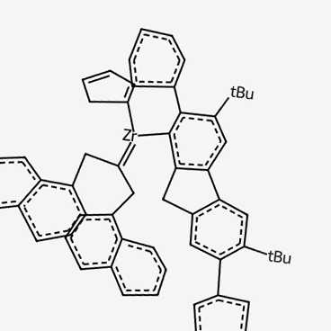 CC(C)(C)c1cc2c(cc1-c1ccccc1)Cc1c-2cc(C(C)(C)C)c(-c2ccccc2)[c]1[Zr]([C]1=CC=CC1)=[C](Cc1cccc2ccccc12)Cc1cccc2ccccc12